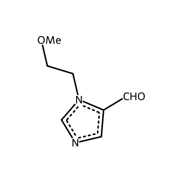 COCCn1cncc1C=O